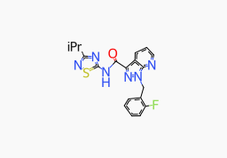 CC(C)c1nsc(NC(=O)c2nn(Cc3ccccc3F)c3ncccc23)n1